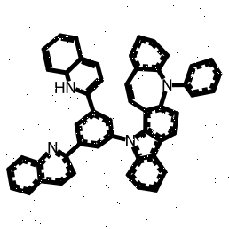 C1=CC2=CC=C(c3cc(-c4ccc5ccccc5n4)cc(-n4c5ccccc5c5ccc6c(c54)C=Cc4ccccc4N6c4ccccc4)c3)NC2C=C1